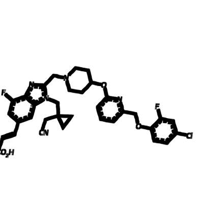 N#CCC1(Cn2c(CN3CCC(Oc4cccc(COc5ccc(Cl)cc5F)n4)CC3)nc3c(F)cc(/C=C/C(=O)O)cc32)CC1